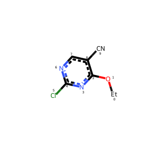 CCOc1nc(Cl)ncc1C#N